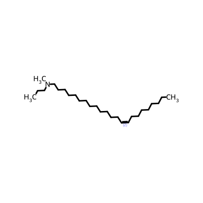 CCCCCCCC/C=C\CCCCCCCCCCCCCN(C)CCC